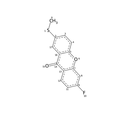 CSc1ccc2oc3cc(F)ccc3c(=O)c2c1